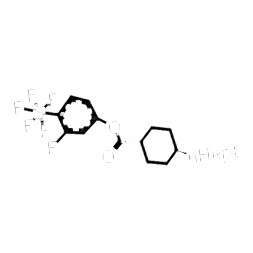 CCCCCCC[C@H]1CC[C@H](C(=O)Oc2ccc(S(F)(F)(F)(F)F)c(F)c2)CC1